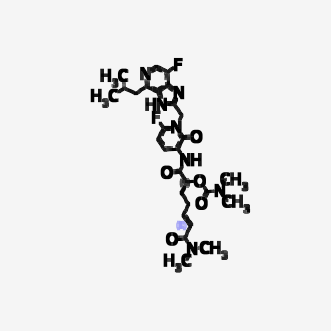 CC(C)Cc1ncc(F)c2nc(Cn3c(F)ccc(NC(=O)[C@H](CC/C=C/C(=O)N(C)C)OC(=O)N(C)C)c3=O)[nH]c12